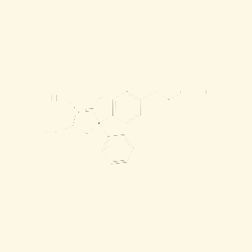 CCOC(=O)CCc1ccc(C2(c3ccccc3)CC(C)[N+](C)=C2CC)cc1